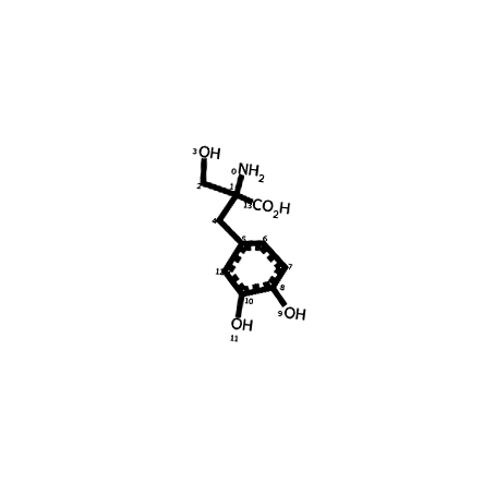 NC(CO)(Cc1ccc(O)c(O)c1)C(=O)O